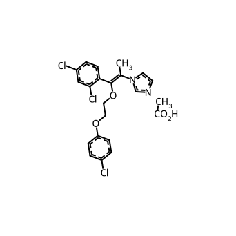 C/C(=C(/OCCOc1ccc(Cl)cc1)c1ccc(Cl)cc1Cl)n1ccnc1.CC(=O)O